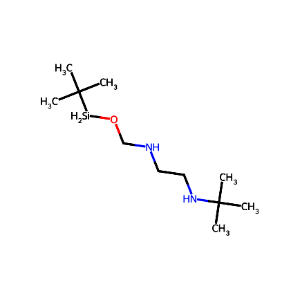 CC(C)(C)NCCNCO[SiH2]C(C)(C)C